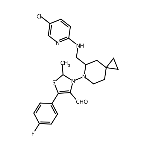 CC1SC(c2ccc(F)cc2)=C(C=O)N1N1CCC2(CC2)CC1CNc1ccc(Cl)cn1